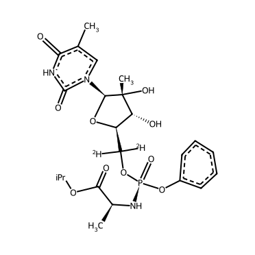 [2H]C([2H])(O[P@@](=O)(N[C@@H](C)C(=O)OC(C)C)Oc1ccccc1)[C@H]1O[C@@H](n2cc(C)c(=O)[nH]c2=O)[C@](C)(O)[C@@H]1O